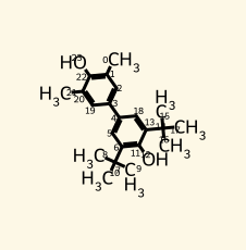 Cc1cc(-c2cc(C(C)(C)C)c(O)c(C(C)(C)C)c2)cc(C)c1O